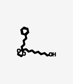 OCCCCCCCCC1(CCCCc2ccccc2)OCCO1